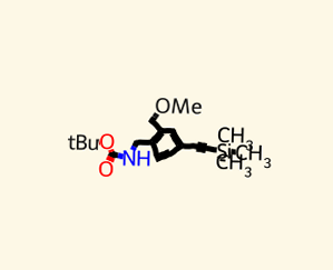 COCc1cc(C#C[Si](C)(C)C)ccc1CNC(=O)OC(C)(C)C